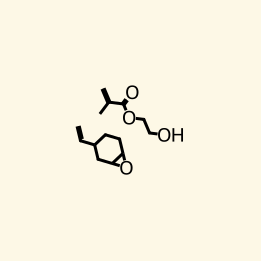 C=C(C)C(=O)OCCO.C=CC1CCC2OC2C1